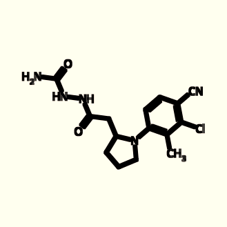 Cc1c(N2CCCC2CC(=O)NNC(N)=O)ccc(C#N)c1Cl